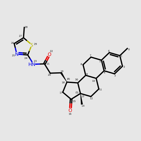 Cc1ccc2c(c1)CCC1C2CC[C@]2(C)C(=O)C[C@@H](CCC(=O)Nc3ncc(C)s3)C12